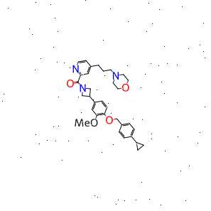 COc1cc(C2CN(C(=O)c3cc(CCCN4CCOCC4)ccn3)C2)ccc1OCc1ccc(C2CC2)cc1